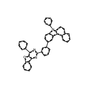 c1ccc(-c2nc(-c3cccc(-c4ccc5c(c4)c4c6ccccc6ccc4n5-c4ccccc4)c3)nc3c2oc2ccccc23)cc1